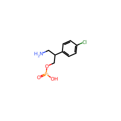 NCC(CO[P](=O)O)c1ccc(Cl)cc1